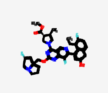 CCc1c(F)ccc2cc(O)cc(-c3ncc4c(N5C[C@H](C(=O)OC)[C@@H](C)C5)nc(OC[C@@]56CCCN5C[C@H](F)C6)nc4c3F)c12